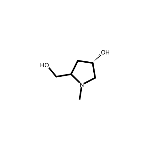 CN1C[C@@H](O)CC1CO